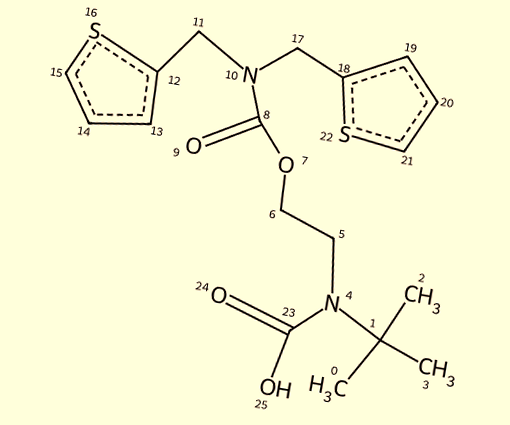 CC(C)(C)N(CCOC(=O)N(Cc1cccs1)Cc1cccs1)C(=O)O